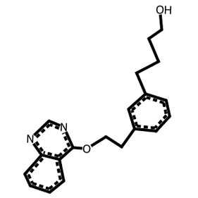 OCCCCc1cccc(CCOc2ncnc3ccccc23)c1